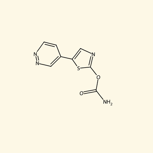 NC(=O)Oc1ncc(-c2ccnnc2)s1